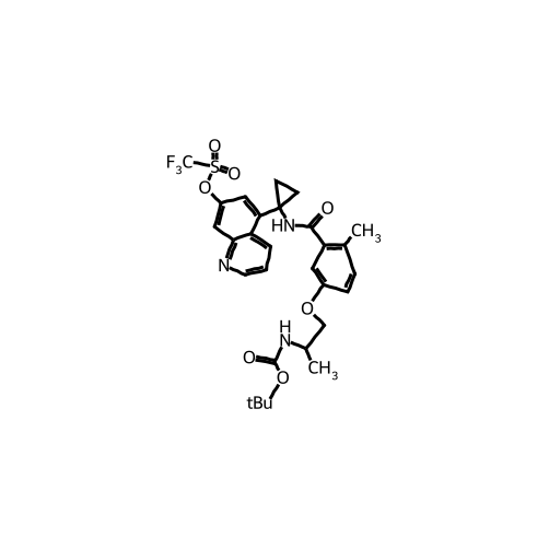 Cc1ccc(OCC(C)NC(=O)OC(C)(C)C)cc1C(=O)NC1(c2cc(OS(=O)(=O)C(F)(F)F)cc3ncccc23)CC1